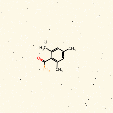 Cc1cc(C)c(C(=O)P)c(C)c1.[Li]